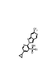 CCS(=N)(=O)c1cc(C2CC2)cnc1-n1cc2cnc(C(F)(F)F)cc2n1